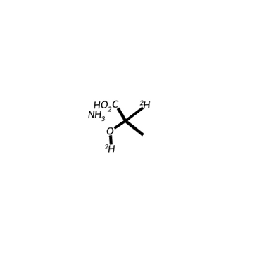 N.[2H]OC([2H])(C)C(=O)O